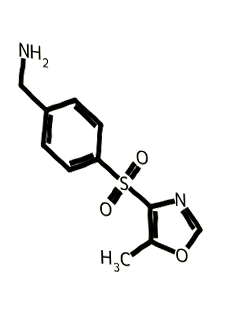 Cc1ocnc1S(=O)(=O)c1ccc(CN)cc1